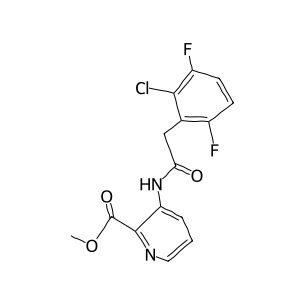 COC(=O)c1ncccc1NC(=O)Cc1c(F)ccc(F)c1Cl